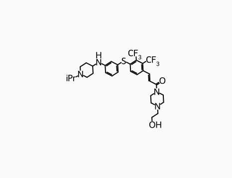 CC(C)N1CCC(Nc2cccc(Sc3ccc(C=CC(=O)N4CCN(CCO)CC4)c(C(F)(F)F)c3C(F)(F)F)c2)CC1